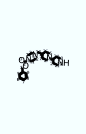 O=C(OCc1ccccc1)N1CCN(CC2CCN(C3CCNCC3)CC2)CC1